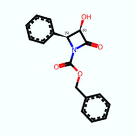 O=C(OCc1ccccc1)N1C(=O)[C@H](O)[C@@H]1c1ccccc1